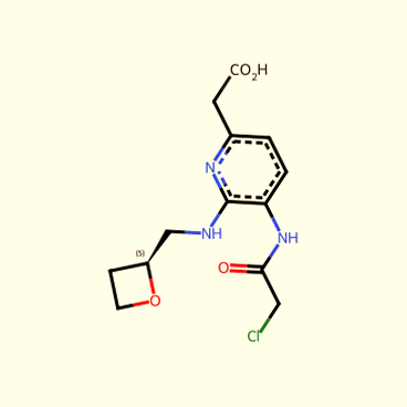 O=C(O)Cc1ccc(NC(=O)CCl)c(NC[C@@H]2CCO2)n1